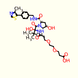 Cc1ncsc1-c1ccc(CNC(=O)[C@@H]2C[C@@H](O)CN2C(=O)C(O)(NC(=O)CCOCCOCCC(=O)O)C(C)(C)C)cc1